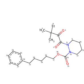 CCC(C)(C)C(=O)C(=O)N1CCCCN1C(=O)OCCCCCc1ccccc1